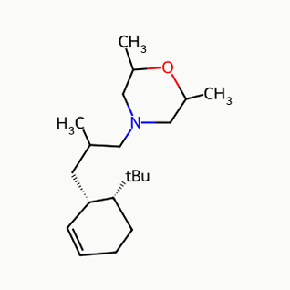 CC(C[C@H]1C=CCC[C@H]1C(C)(C)C)CN1CC(C)OC(C)C1